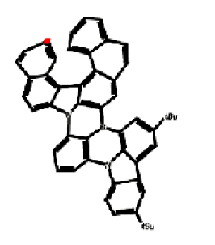 CC(C)(C)c1ccc2c(c1)c1cc(C(C)(C)C)cc3c1n2-c1cccc2c1B3c1cc3ccc4ccccc4c3c3c4c5c(ccc6ccccc65)ccc4n-2c13